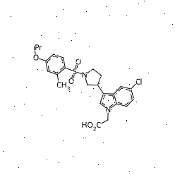 Cc1cc(OC(C)C)ccc1S(=O)(=O)N1CCC(c2cn(CC(=O)O)c3ccc(Cl)cc23)C1